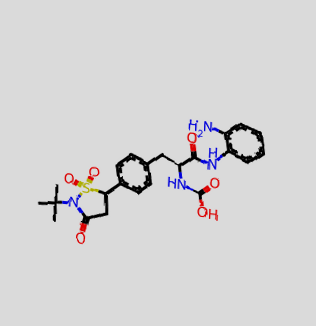 CC(C)(C)N1C(=O)CC(c2ccc(C[C@H](NC(=O)O)C(=O)Nc3ccccc3N)cc2)S1(=O)=O